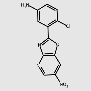 Nc1ccc(Cl)c(-c2nc3ncc([N+](=O)[O-])cc3o2)c1